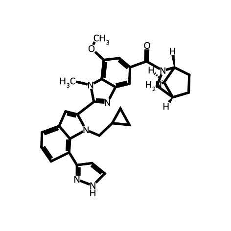 COc1cc(C(=O)N2C[C@H]3CC[C@@H]2[C@@H]3N)cc2nc(-c3cc4cccc(-c5cc[nH]n5)c4n3CC3CC3)n(C)c12